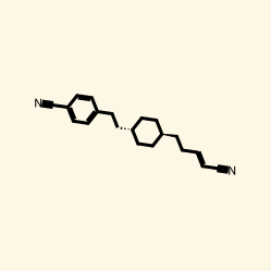 N#CC=CCC[C@H]1CC[C@H](CCc2ccc(C#N)cc2)CC1